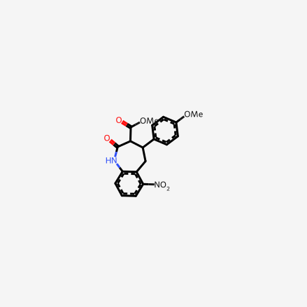 COC(=O)C1C(=O)Nc2cccc([N+](=O)[O-])c2CC1c1ccc(OC)cc1